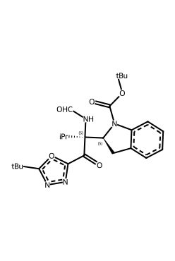 CC(C)[C@@](NC=O)(C(=O)c1nnc(C(C)(C)C)o1)[C@@H]1Cc2ccccc2N1C(=O)OC(C)(C)C